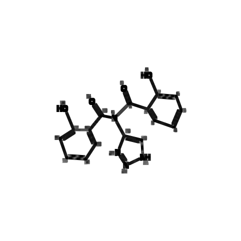 O=C(c1ccccc1O)N(C(=O)c1ccccc1O)c1c[nH]nn1